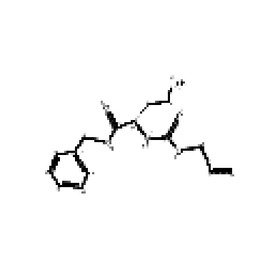 C=CCOC(=O)N[C@@H](CCC(=O)O)C(=O)OCc1ccccc1